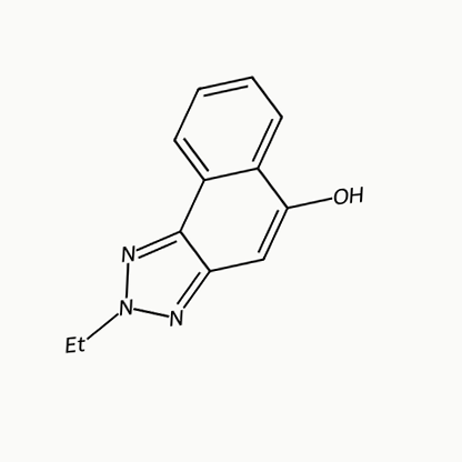 CCn1nc2cc(O)c3ccccc3c2n1